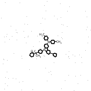 Cc1ccc(N(c2ccc(C)cc2)c2ccc3c(c2)c2cc(-c4ccccc4)ccc2n3-c2ccc(C(C)(C)c3ccccc3)cc2)cc1